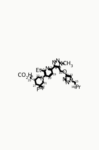 CCc1nc(-c2nnn(C)c2COc2cn(CC(C)C)nn2)ccc1N1C[C@@H](CC(=O)O)CC(F)(F)C1